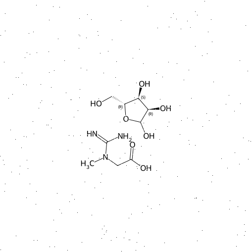 CN(CC(=O)O)C(=N)N.OC[C@H]1OC(O)[C@H](O)[C@@H]1O